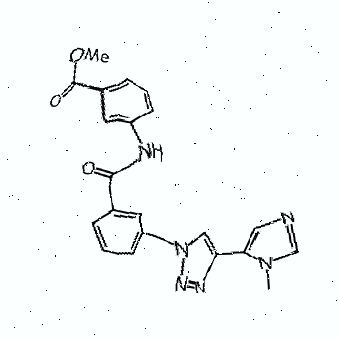 COC(=O)c1cccc(NC(=O)c2cccc(-n3cc(-c4cncn4C)nn3)c2)c1